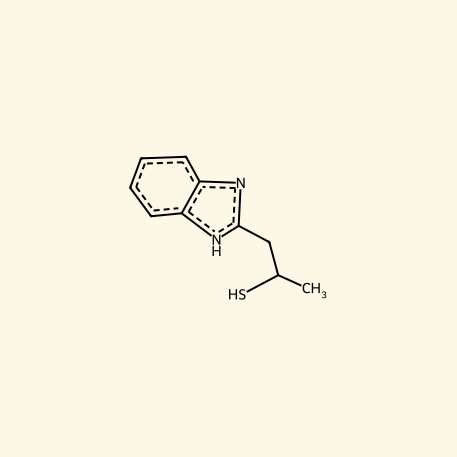 CC(S)Cc1nc2ccccc2[nH]1